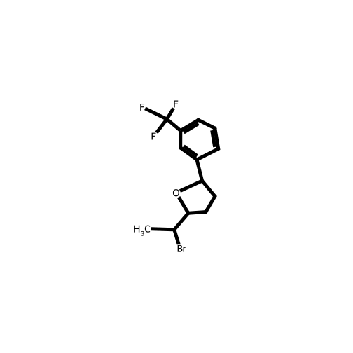 CC(Br)C1CCC(c2cccc(C(F)(F)F)c2)O1